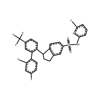 O=S(=O)(Nc1cccc(F)n1)c1ccc2c(c1)CCC2c1ccc(C(F)(F)F)cc1-c1ccc(F)cc1F